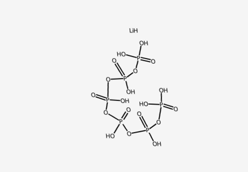 O=P(O)(O)OP(=O)(O)OP(=O)(O)OP(=O)(O)OP(=O)(O)OP(=O)(O)O.[LiH]